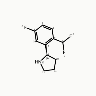 Fc1ccc(C(F)F)c([C@H]2CCCN2)c1